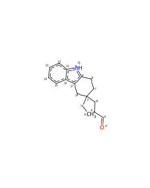 CCC1(CCC=O)CCc2[nH]c3ccccc3c2C1